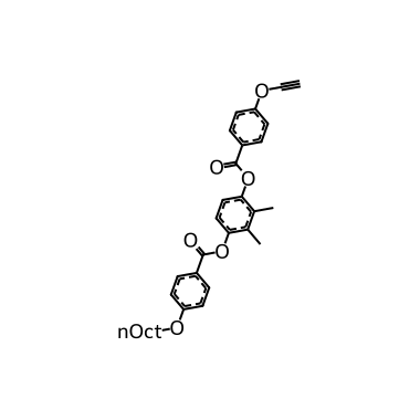 C#COc1ccc(C(=O)Oc2ccc(OC(=O)c3ccc(OCCCCCCCC)cc3)c(C)c2C)cc1